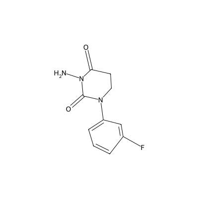 NN1C(=O)CCN(c2cccc(F)c2)C1=O